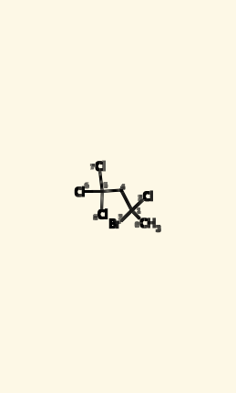 CC(Cl)(Br)CC(Cl)(Cl)Cl